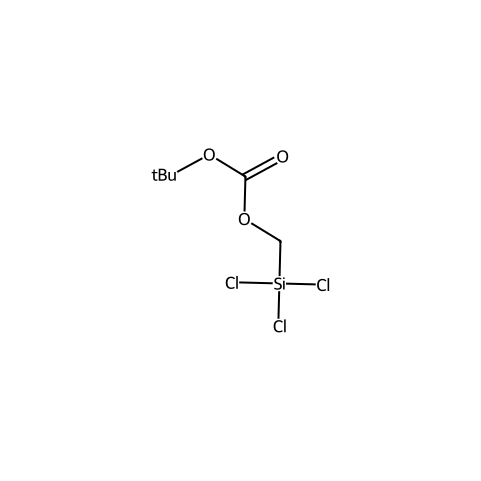 CC(C)(C)OC(=O)OC[Si](Cl)(Cl)Cl